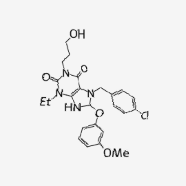 CCn1c2c(c(=O)n(CCCO)c1=O)N(Cc1ccc(Cl)cc1)C(Oc1cccc(OC)c1)N2